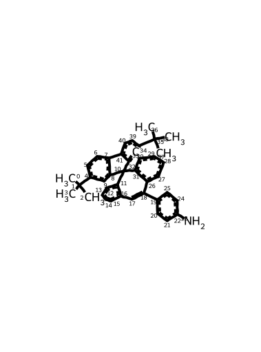 CC(C)(C)c1ccc2c(c1)C1(c3ccccc3C=C(c3ccc(N)cc3)c3ccccc31)c1cc(C(C)(C)C)ccc1-2